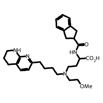 COCCN(CCCCc1ccc2c(n1)NCCC2)CCC(NC(=O)C1Cc2ccccc2C1)C(=O)O